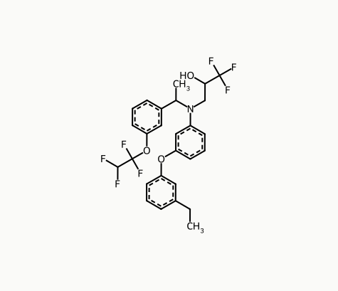 CCc1cccc(Oc2cccc(N(CC(O)C(F)(F)F)C(C)c3cccc(OC(F)(F)C(F)F)c3)c2)c1